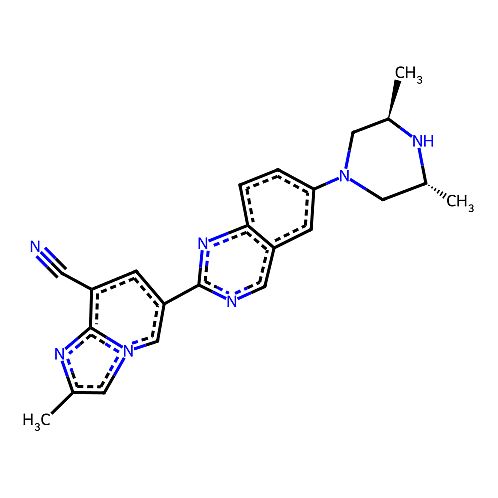 Cc1cn2cc(-c3ncc4cc(N5C[C@@H](C)N[C@H](C)C5)ccc4n3)cc(C#N)c2n1